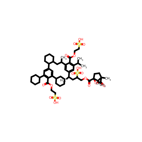 CC(C)c1cc(C(C)CC(COC(=O)C23CCC(C)(C(=O)O2)C3(C)C)S(=O)(=O)O)cc(C(C)CC2CCCCC2c2cc(C3CCCCC3)c(C(=O)OCCS(=O)(=O)O)c(C3CCCCC3)c2)c1C(=O)OCCS(=O)(=O)O